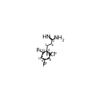 Cl.N=C(N)CCc1ccc(F)cc1F